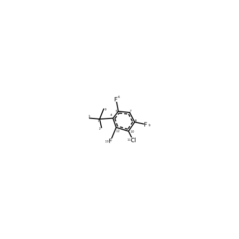 CC(C)(C)c1c(F)cc(F)c(Cl)c1F